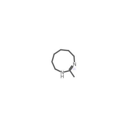 C/C1=N/CCCCCCN1